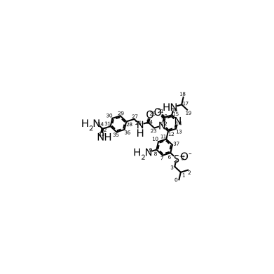 CC(C)C[S+]([O-])c1cc(N)cc(-c2cnc(NC(C)C)c(=O)n2CC(=O)NCc2ccc(C(=N)N)cc2)c1